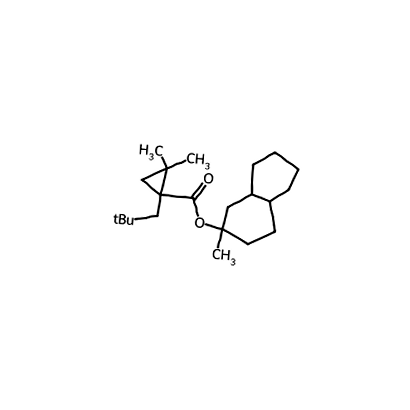 CC(C)(C)CC1(C(=O)OC2(C)CCC3CCCCC3C2)CC1(C)C